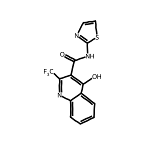 O=C(Nc1nccs1)c1c(C(F)(F)F)nc2ccccc2c1O